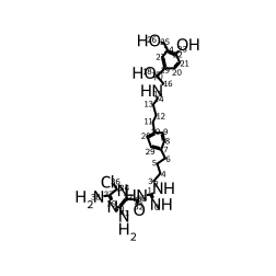 N=C(NCCCCc1ccc(CCCCNC[C@H](O)c2ccc(O)c(CO)c2)cc1)NC(=O)c1nc(Cl)c(N)nc1N